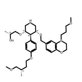 COCCCN1CCOc2ccc(CO[C@H]3CNC[C@@H](OC[C@@H](C)O)[C@@H]3c3ccc(OCC[C@H](C)COC)cc3)cc21